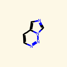 c1cc2cncn2nn1